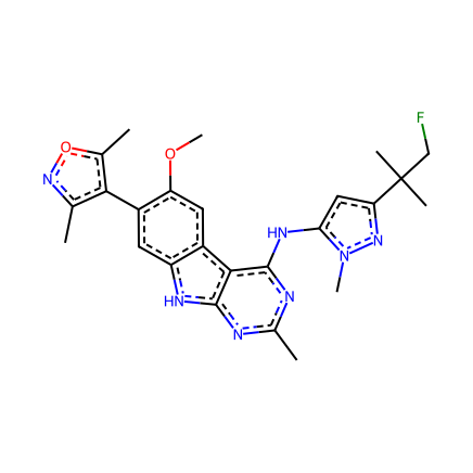 COc1cc2c(cc1-c1c(C)noc1C)[nH]c1nc(C)nc(Nc3cc(C(C)(C)CF)nn3C)c12